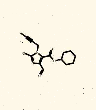 CC#CCn1c(Cl)nc(C=O)c1C(=O)OC1CCCCC1